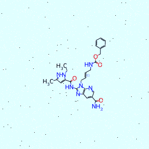 CCn1nc(C)cc1C(=O)Nc1nc2cc(C(N)=O)cnc2n1C/C=C/CNC(=O)OCc1ccccc1